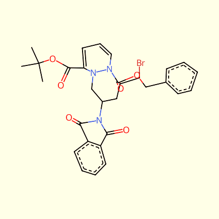 CC(C)(C)OC(=O)C1=CC=CN(C(=O)OCc2ccccc2)N1CC(CCCBr)N1C(=O)c2ccccc2C1=O